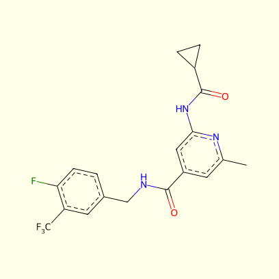 Cc1cc(C(=O)NCc2ccc(F)c(C(F)(F)F)c2)cc(NC(=O)C2CC2)n1